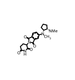 CN[C@H]1CCC[C@H]1N(C)c1ccc2c(c1)C(=O)N(C1CCC(=O)NC1=O)C2=O